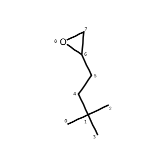 CC(C)(C)CCC1CO1